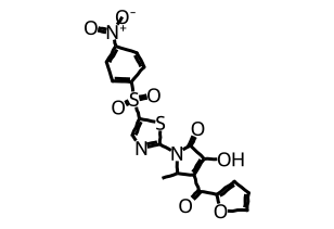 CC1C(C(=O)c2ccco2)=C(O)C(=O)N1c1ncc(S(=O)(=O)c2ccc([N+](=O)[O-])cc2)s1